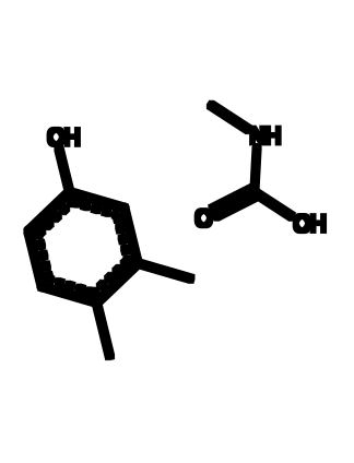 CNC(=O)O.Cc1ccc(O)cc1C